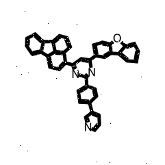 c1cncc(-c2ccc(-c3nc(-c4ccc5oc6ccccc6c5c4)cc(-c4ccc5c6c(cccc46)-c4ccccc4-5)n3)cc2)c1